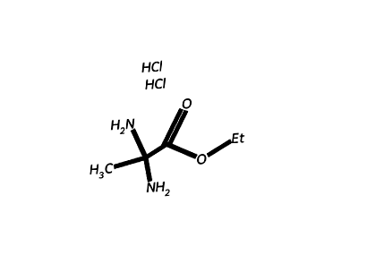 CCOC(=O)C(C)(N)N.Cl.Cl